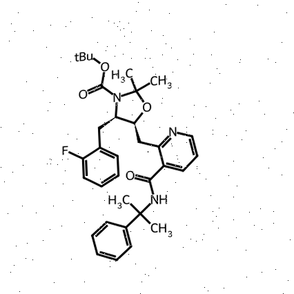 CC(C)(C)OC(=O)N1[C@H](Cc2ccccc2F)[C@H](Cc2ncccc2C(=O)NC(C)(C)c2ccccc2)OC1(C)C